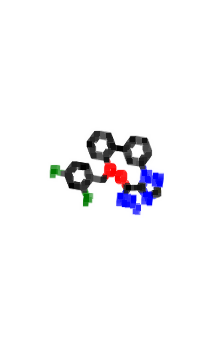 NC(=O)c1ncnn1-c1cccc(-c2ccccc2OCc2ccc(F)cc2F)c1